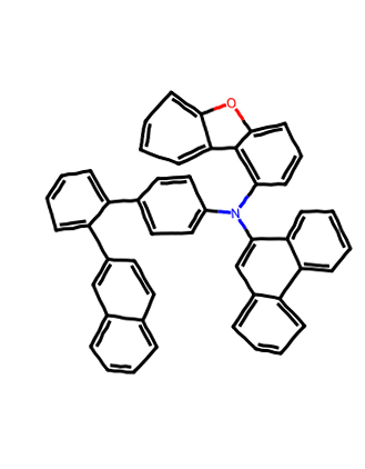 c1ccc(-c2ccc3ccccc3c2)c(-c2ccc(N(c3cc4ccccc4c4ccccc34)c3cccc4oc5ccccc5c34)cc2)c1